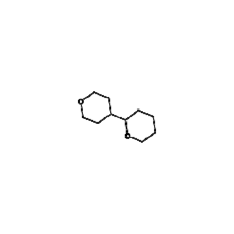 [C]1CCCOC1C1CCOCC1